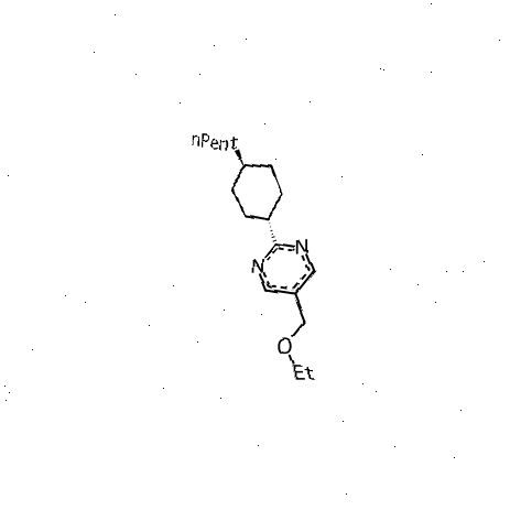 CCCCC[C@H]1CC[C@H](c2ncc(COCC)cn2)CC1